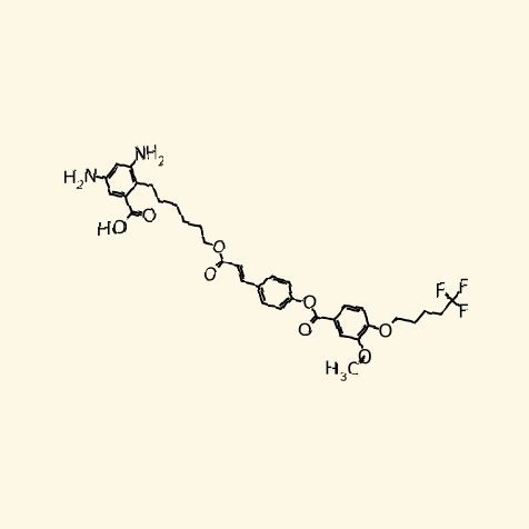 COc1cc(C(=O)Oc2ccc(C=CC(=O)OCCCCCCc3c(N)cc(N)cc3C(=O)O)cc2)ccc1OCCCCC(F)(F)F